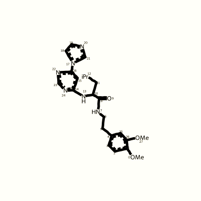 COc1ccc(CCNC(=O)C(CC(C)C)Nc2cc(-n3ccnc3)ncn2)cc1OC